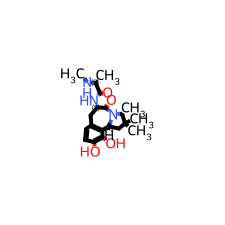 CN[C@@H](C)C(=O)N[C@H]1Cc2ccc(O)c(O)c2[C@H]2CC(C)(C)C(C)N2C1=O